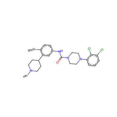 CCCN1CCC(c2cc(NC(=O)N3CCN(c4cccc(Cl)c4Cl)CC3)ccc2OC)CC1